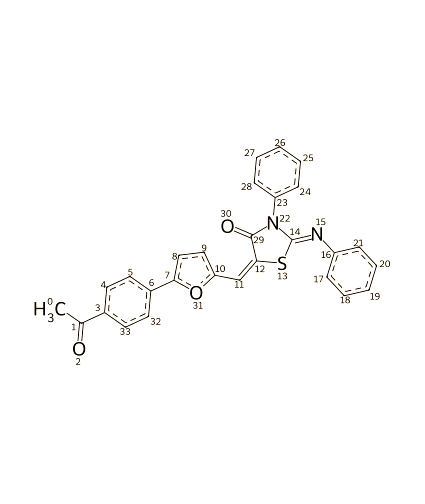 CC(=O)c1ccc(-c2ccc(/C=C3/S/C(=N\c4ccccc4)N(c4ccccc4)C3=O)o2)cc1